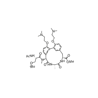 COC(=O)[C@@H]1Cc2ccc(OCCN(C)C)c(c2)-c2cc(ccc2OCCN(C)C)[C@H](N(C)C(=O)[C@H](COC(C)(C)C)NC(C)=O)C(=O)N[C@@H](C)C(=O)N1